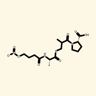 CC(CSC(=O)[C@H](C)NC(=O)CCCO[N+](=O)[O-])C(=O)N1CCC[C@H]1C(=O)O